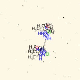 CCCC(Nc1nc(Cl)nc(NCCCCCCNc2nc(Cl)nc(NC(CCC)C3CC(C)(C)N(OC)C(C)(C)C3)n2)n1)C1CC(C)(C)N(OC)C(C)(C)C1